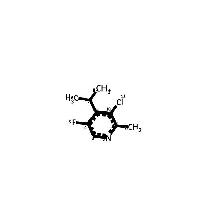 Cc1ncc(F)c(C(C)C)c1Cl